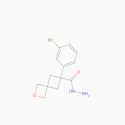 NNC(=O)C1(c2cccc(Br)c2)CC2(COC2)C1